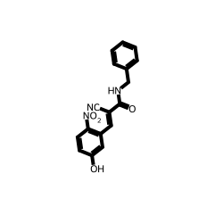 N#CC(=Cc1cc(O)ccc1[N+](=O)[O-])C(=O)NCc1ccccc1